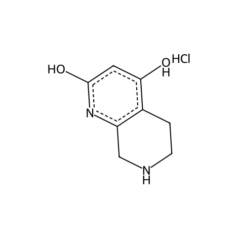 Cl.Oc1cc(O)c2c(n1)CNCC2